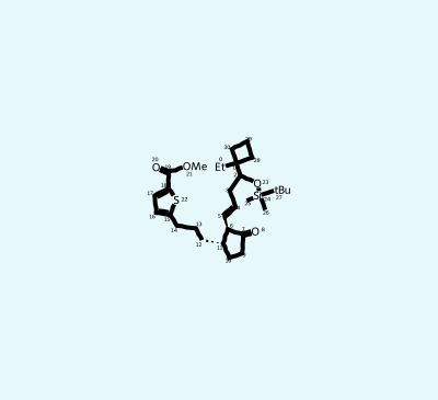 CCC1(C(C/C=C/[C@H]2C(=O)CC[C@@H]2CCCc2ccc(C(=O)OC)s2)O[Si](C)(C)C(C)(C)C)CCC1